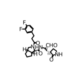 O=C[C@H](C[C@@H]1CCNC1=O)NC(=O)[C@H]1[C@@H]2CCC[C@H]2CN1C(=O)CCc1ccc(F)c(F)c1